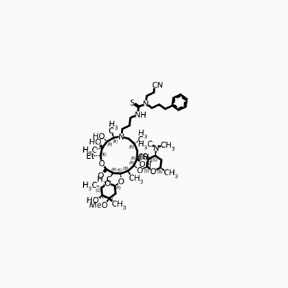 CC[C@H]1OC(=O)[C@H](C)[C@@H](O[C@H]2C[C@@](C)(OC)[C@@H](O)[C@H](C)O2)[C@H](C)[C@@H](O[C@@H]2O[C@H](C)C[C@H](N(C)C)[C@H]2O)[C@](C)(O)C[C@@H](C)CN(CCCNC(=S)N(CCC#N)CCCc2ccccc2)[C@H](C)[C@@H](O)[C@]1(C)O